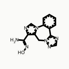 NC(=NO)c1ncn2c1Cn1ncnc1-c1ccccc1-2